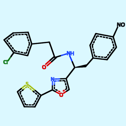 O=Nc1ccc(C[C@H](NC(=O)Cc2cccc(Cl)c2)c2coc(-c3cccs3)n2)cc1